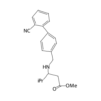 COC(=O)CC(NCc1ccc(-c2ccccc2C#N)cc1)C(C)C